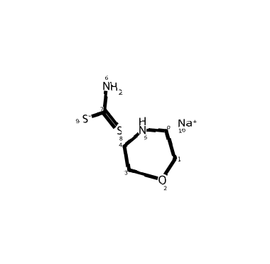 C1COCCN1.NC(=S)[S-].[Na+]